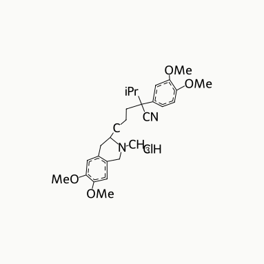 COc1ccc(C(C#N)(CCCC2Cc3cc(OC)c(OC)cc3CN2C)C(C)C)cc1OC.Cl